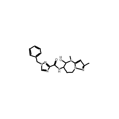 Cc1cc2n(n1)CCC(NC(=O)c1ncn(Cc3ccccc3)n1)C(O)N2C